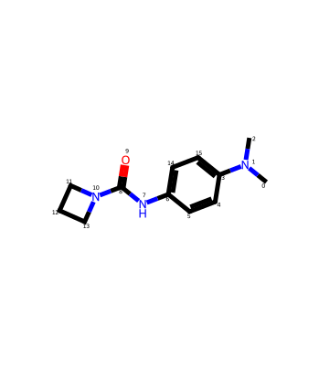 CN(C)c1ccc(NC(=O)N2CCC2)cc1